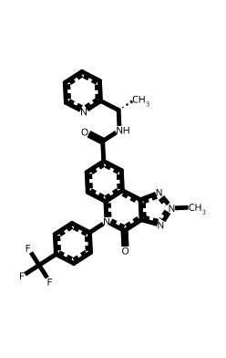 C[C@H](NC(=O)c1ccc2c(c1)c1nn(C)nc1c(=O)n2-c1ccc(C(F)(F)F)cc1)c1ccccn1